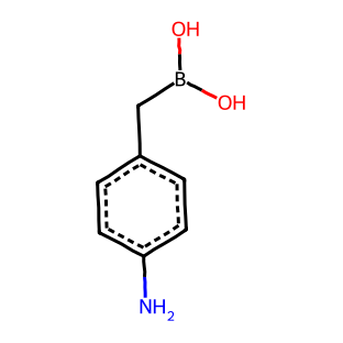 Nc1ccc(CB(O)O)cc1